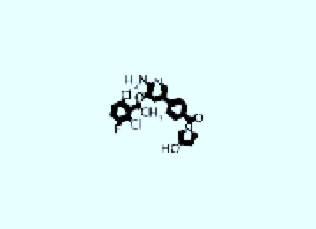 CC(Oc1cc(-c2ccc(C(=O)N3CC[C@@H](O)C3)cc2)cnc1N)c1c(Cl)ccc(F)c1Cl